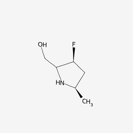 C[C@@H]1C[C@H](F)C(CO)N1